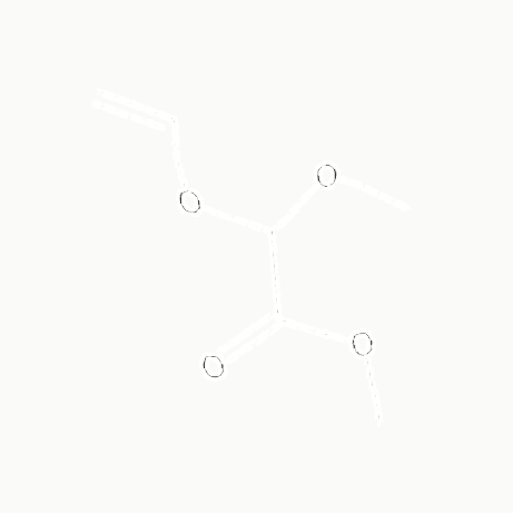 C=COC(OC)C(=O)OC